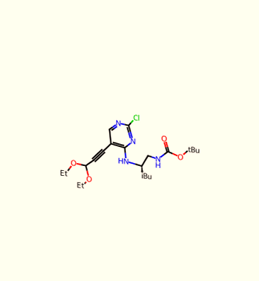 CCOC(C#Cc1cnc(Cl)nc1N[C@@H](CNC(=O)OC(C)(C)C)C(C)CC)OCC